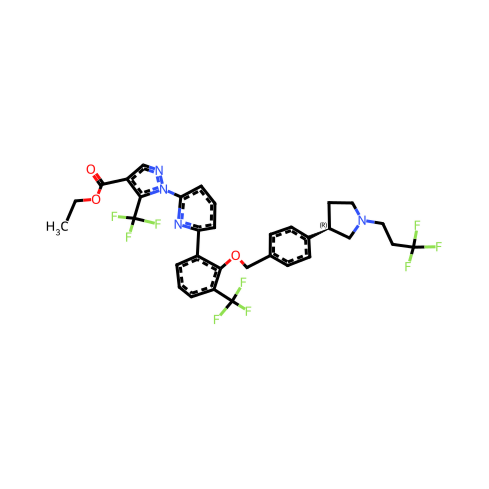 CCOC(=O)c1cnn(-c2cccc(-c3cccc(C(F)(F)F)c3OCc3ccc([C@H]4CCN(CCC(F)(F)F)C4)cc3)n2)c1C(F)(F)F